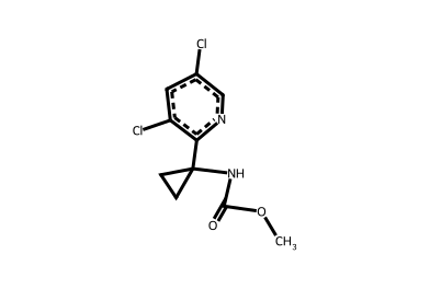 COC(=O)NC1(c2ncc(Cl)cc2Cl)CC1